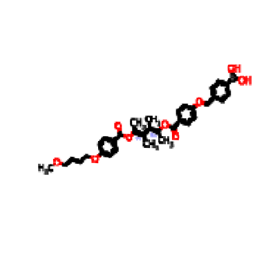 COCCCCOc1ccc(C(=O)O/C(C)=C(C)/C(C)=C(\C)OC(=O)c2ccc(OCc3ccc(B(O)O)cc3)cc2)cc1